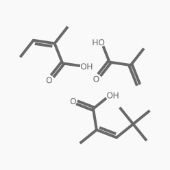 C=C(C)C(=O)O.CC(=CC(C)(C)C)C(=O)O.CC=C(C)C(=O)O